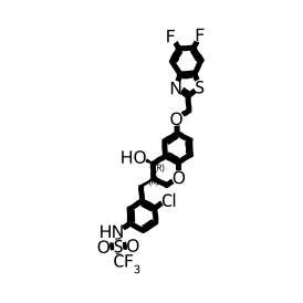 O=S(=O)(Nc1ccc(Cl)c(C[C@@H]2COc3ccc(OCc4nc5cc(F)c(F)cc5s4)cc3[C@@H]2O)c1)C(F)(F)F